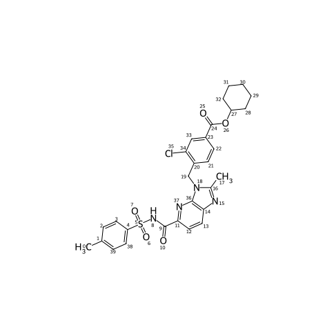 Cc1ccc(S(=O)(=O)NC(=O)c2ccc3nc(C)n(Cc4ccc(C(=O)OC5CCCCC5)cc4Cl)c3n2)cc1